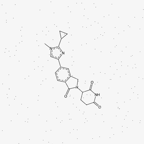 Cn1cc(-c2ccc3c(c2)CN(C2CCC(=O)NC2=O)C3=O)nc1C1CC1